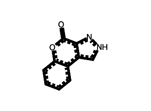 O=c1oc2ccccc2c2c[nH]nc12